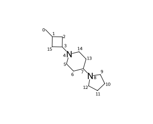 CC1CC(N2CCC(N3CCCC3)CC2)C1